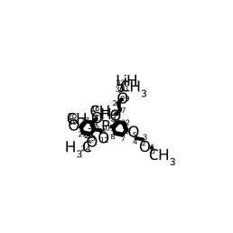 CCOCCOc1ccc(PC(=O)c2c(OC)cc(OC)cc2OC)c(OCCOCC)c1.[LiH]